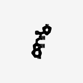 O=C(NCc1cc2ccncc2[nH]1)c1cccnc1